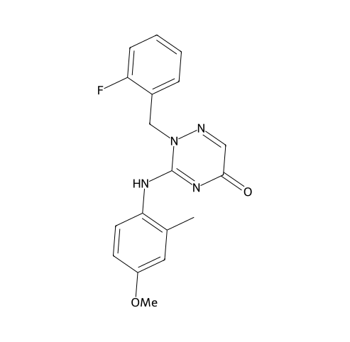 COc1ccc(Nc2nc(=O)cnn2Cc2ccccc2F)c(C)c1